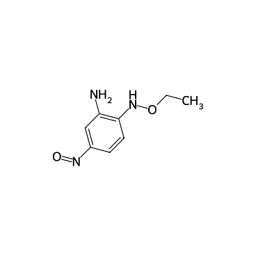 CCONc1ccc(N=O)cc1N